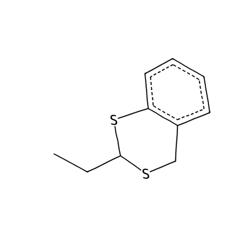 CCC1SCc2ccccc2S1